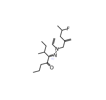 C=CN(CC(=C)CC(C)F)/N=C(/C(=O)CCC)C(C)CC